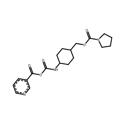 O=C(NC1CCC(COC(=O)N2CCCC2)CC1)OC(=O)c1cccnc1